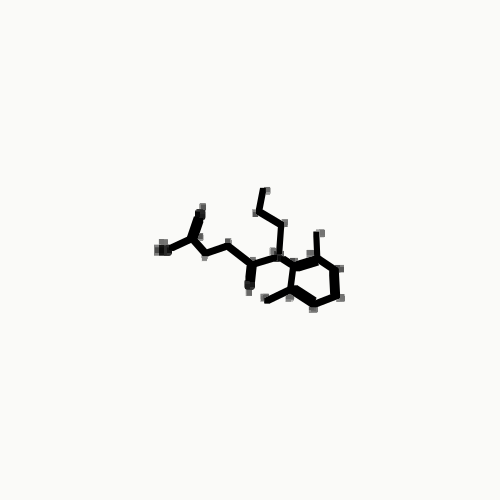 CCCN(C(=O)CCC(=O)O)c1c(C)cccc1C